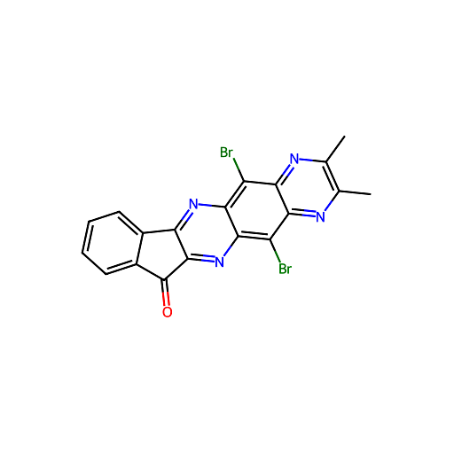 Cc1nc2c(Br)c3nc4c(nc3c(Br)c2nc1C)-c1ccccc1C4=O